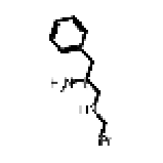 CC(C)CNC[C@@H](N)Cc1ccccc1